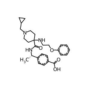 C[C@H](NC(=O)C1(NCCOc2ccccc2)CCN(CC2CC2)CC1)c1ccc(C(=O)O)cc1